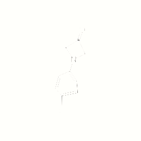 O=C1CN(c2ccc(Cl)cc2)C1